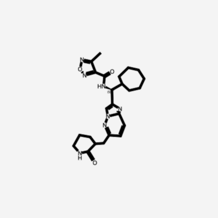 Cc1nonc1C(=O)N[C@H](c1cn2nc(CC3CCCNC3=O)ccc2n1)C1CCCCCC1